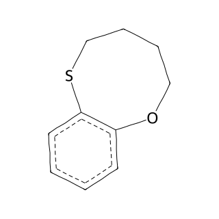 c1ccc2c(c1)OCCCCS2